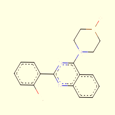 [O-][S+]1CCN(c2nc(-c3ccccc3O)nc3ccccc23)CC1